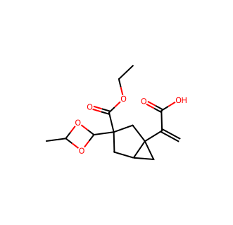 C=C(C(=O)O)C12CC1CC(C(=O)OCC)(C1OC(C)O1)C2